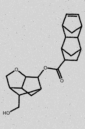 O=C(OC1C2CC3C(COC31)C2CO)C1CC2CC1C1C3C=CC(C3)C21